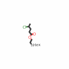 CCCCCCCCOC(=O)CCC(C)Cl